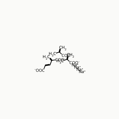 C=C(C)C(=O)[O-].C=C(C)C(=O)[O-].C=C(C=CC(=O)[O-])C(=O)[O-].[Na+].[Na+].[Na+].[Na+]